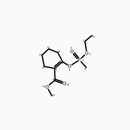 CCOP(C)(=O)OC1=C(C(=O)OC)CCCC1